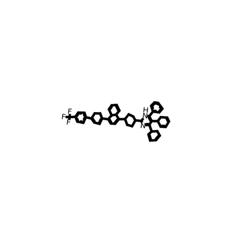 FC(F)(F)c1ccc(C2=CC=C(C3=CC=C(C4CCC(C5N=C(C6C=CC=CC6)C(C6C=CC=CC6)=C(c6ccccc6)N5)CC4)C4C=CC=CC34)CC2)cc1